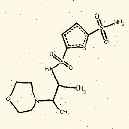 CC(NS(=O)(=O)c1ccc(S(N)(=O)=O)s1)C(C)N1CCOCC1